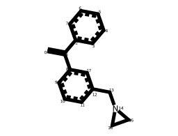 C=C(c1ccccc1)c1cccc(CN2CC2)c1